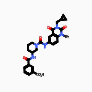 CC(C)n1c(=O)n(CC2CC2)c(=O)c2cc(NC(=O)N3CCCC(NC(=O)c4cccc(C(=O)O)c4)C3)ccc21